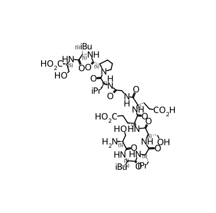 CC[C@H](C)[C@H](NC(=O)[C@@H](N)CO)C(=O)N[C@@H](CC(C)C)C(=O)N[C@@H](CO)C(=O)N[C@@H](CCC(=O)O)C(=O)N[C@@H](CCC(=O)O)C(=O)NCC(=O)N[C@H](C(=O)N1CCC[C@H]1C(=O)N[C@H](C(=O)N[C@@H](CO)C(=O)O)[C@@H](C)CC)C(C)C